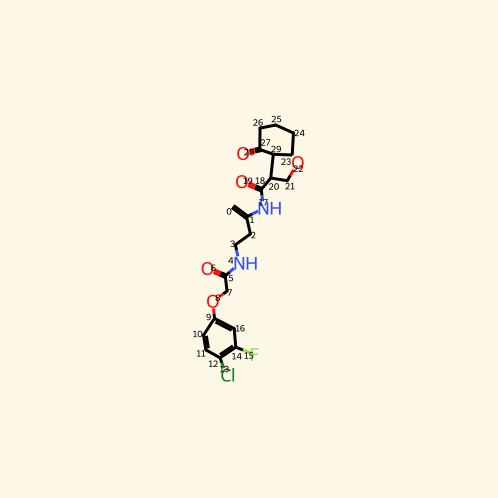 C=C(CCNC(=O)COc1ccc(Cl)c(F)c1)NC(=O)C1COC2CCCC(=O)C21